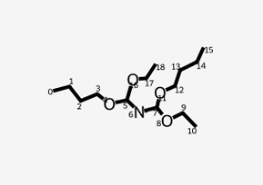 CCCCOC([N]C(OCC)OCCCC)OCC